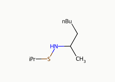 CCCCCC(C)NSC(C)C